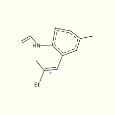 C=CNc1ccc(C)cc1/C=C(\C)CC